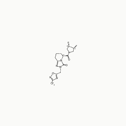 O=C([C@@H]1CCCc2nn(Cc3nc(C(F)(F)F)no3)c(=O)n21)N1C[C@@H](F)[C@@H](F)C1